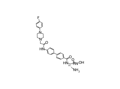 NC[C@H](NC(=O)c1ccc(-c2ccc(NC(=O)CN3CCN(c4ccc(F)cc4)CC3)cc2)cc1)C(=O)NO